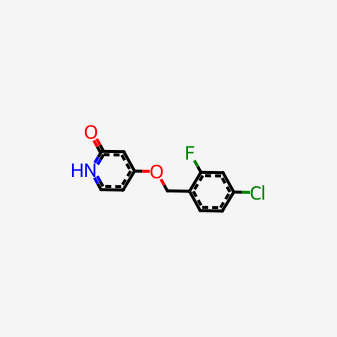 O=c1cc(OCc2ccc(Cl)cc2F)cc[nH]1